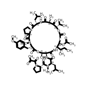 CC[C@H](C)[C@@H]1NC(=O)[C@@H](NC(=O)[C@@H](CC(C)C)N(C)C(=O)[C@@H]2CCCN2C(=O)C(C)=O)[C@@H](C)OC(=O)[C@H](Cc2ccc(OC)cc2)N(C)C(=O)[C@@H]2CCCN2C(=O)[C@H](CC(C)C)NC(=O)[C@@H](C)C(=O)[C@H](C(C)C)OC(=O)C[C@H]1OC(C)=O